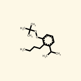 CCCCc1c(OOC(C)(C)C)cccc1C(C)C